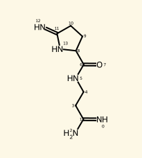 N=C(N)CCNC(=O)C1CCC(=N)N1